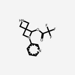 O=C(OC1N(c2cccnc2)CC12CNC2)C(F)(F)F